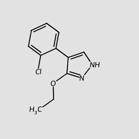 CCOc1n[nH]cc1-c1ccccc1Cl